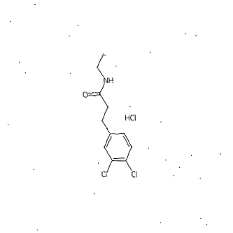 CCNC(=O)CCc1ccc(Cl)c(Cl)c1.Cl